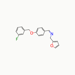 Fc1cccc(COc2ccc(/C=N\Cc3ccco3)cc2)c1